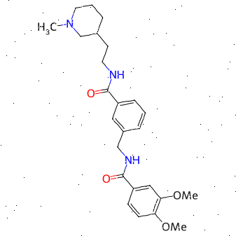 COc1ccc(C(=O)NCc2cccc(C(=O)NCCC3CCCN(C)C3)c2)cc1OC